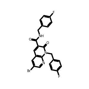 O=C(NCc1ccc(F)cc1)c1cc2cc(Br)cnc2n(Cc2ccc(F)cc2)c1=O